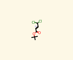 CC(C)(C)OC(=O)/C=C/C(Cl)Cl